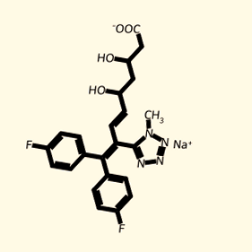 Cn1nnnc1C(C=CC(O)CC(O)CC(=O)[O-])=C(c1ccc(F)cc1)c1ccc(F)cc1.[Na+]